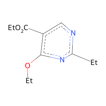 CCOC(=O)c1cnc(CC)nc1OCC